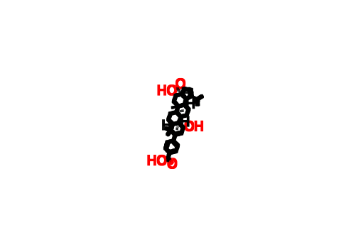 C=C(C)[C@@H]1CC[C@]2(C(=O)O)CC[C@]3(C)[C@H](CC[C@@H]4[C@@]5(C)[C@@H](O)C=C(c6ccc(C(=O)O)cc6)C(C)(C)[C@@H]5CC[C@]43C)[C@@H]12